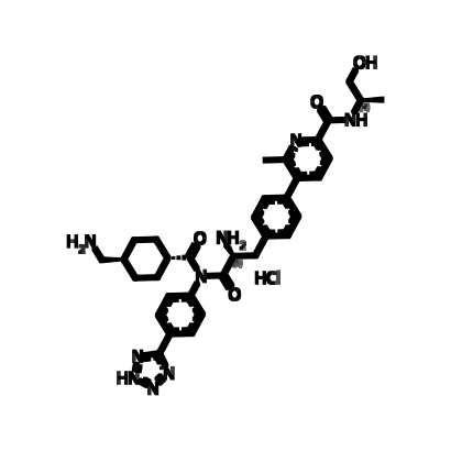 Cc1nc(C(=O)N[C@H](C)CO)ccc1-c1ccc(C[C@H](N)C(=O)N(c2ccc(-c3nn[nH]n3)cc2)C(=O)[C@H]2CC[C@H](CN)CC2)cc1.Cl